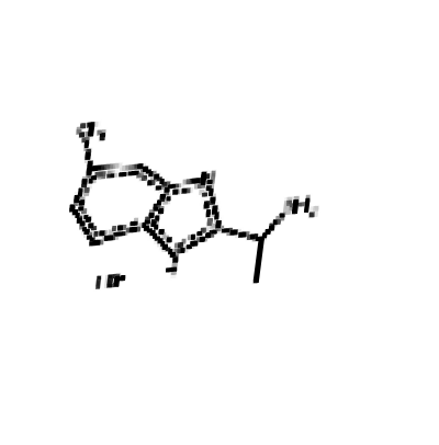 Br.CC(N)c1nc2cc(C(F)(F)F)ccc2[nH]1